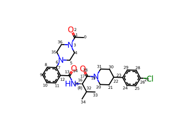 CC(=O)N1CCN(c2ccccc2C(=O)N[C@@H](C(=O)N2CCC(c3ccc(Cl)cc3)CC2)C(C)C)CC1